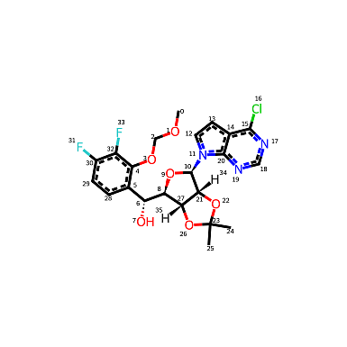 COCOc1c([C@@H](O)[C@H]2O[C@@H](n3ccc4c(Cl)ncnc43)[C@@H]3OC(C)(C)O[C@@H]32)ccc(F)c1F